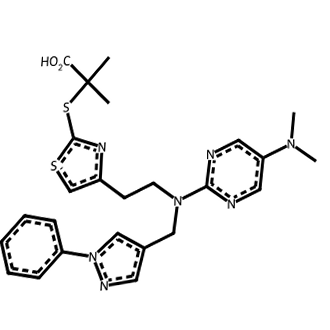 CN(C)c1cnc(N(CCc2csc(SC(C)(C)C(=O)O)n2)Cc2cnn(-c3ccccc3)c2)nc1